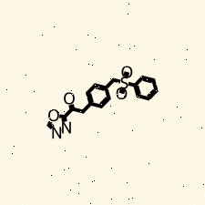 O=C(Cc1ccc(CS(=O)(=O)c2ccccc2)cc1)c1nnco1